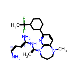 C=C(N/C(N)=C/C=C\N)N1CCCN(C)c2ccc(C3CCCC(C(C)(F)F)C3)nc21